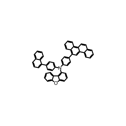 c1ccc2c(-c3ccc(N(c4ccc(-c5cc6c7ccccc7ccc6c6ccccc56)cc4)c4cccc5oc6ccccc6c45)cc3)cccc2c1